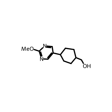 COc1ncc(C2CCC(CO)CC2)cn1